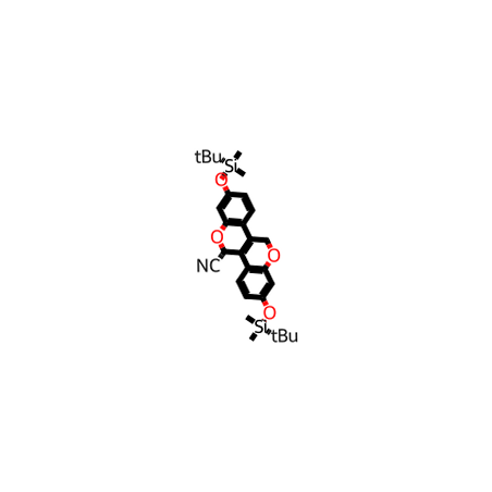 CC(C)(C)[Si](C)(C)Oc1ccc2c(c1)OC(C#N)C1=C2COc2cc(O[Si](C)(C)C(C)(C)C)ccc21